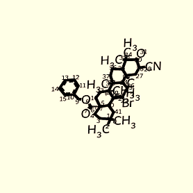 CC1(C)CC[C@]2(C(=O)OCc3ccccc3)CC[C@]3(C)C(=C(Br)CC4[C@@]5(C)CC(C#N)C(=O)C(C)(C)C5CC[C@]43C)C2C1